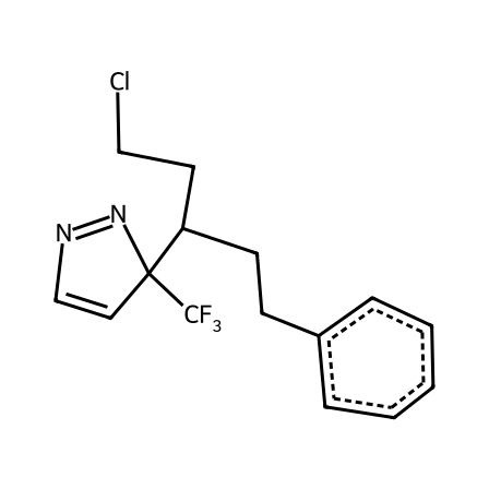 FC(F)(F)C1(C(CCCl)CCc2ccccc2)C=CN=N1